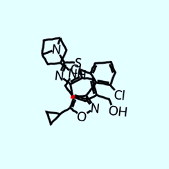 OCc1ccc2nc(N3C4CC(NCc5c(-c6c(Cl)cccc6Cl)noc5C5CC5)CC3C4)sc2c1